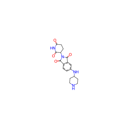 O=C1CCC(N2C(=O)c3ccc(NC4CCNCC4)cc3C2=O)C(=O)N1